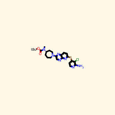 CN(C(=O)OC(C)(C)C)[C@H]1CCCN(c2cnc3nc(Sc4ccnc(N)c4Cl)ccc3n2)CC1